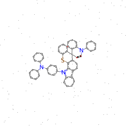 c1ccc(N(c2ccccc2)c2ccc(-n3c4ccccc4c4ccc5c(c43)Sc3ccccc3C53c4ccccc4N(c4ccccc4)c4ccccc43)cc2)cc1